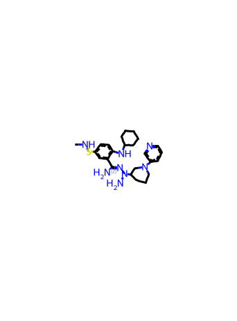 CNSc1ccc(NC2CCCCC2)c(/C(N)=N/N(N)C2CCCN(c3cccnc3)C2)c1